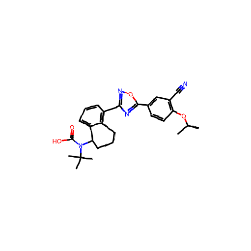 CC(C)Oc1ccc(-c2nc(-c3cccc4c3CCCC4N(C(=O)O)C(C)(C)C)no2)cc1C#N